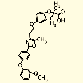 COc1cccc(Oc2ccc(-c3nc(CCOc4ccc(OC(C)(C)C(=O)O)cc4)c(C)o3)cc2)c1